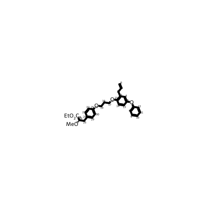 C=CCc1cc(Oc2ccccc2)ccc1OCCCOc1ccc(C[C@H](OC)C(=O)OCC)cc1